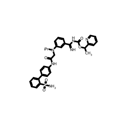 CC(OC(=O)NC(=N)c1cccc(N(CC(=O)Nc2ccc(-c3ccccc3S(N)(=O)=O)cc2)C(C)C)c1)c1ccccn1